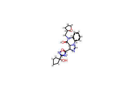 O=C1C2C(c3nc(C4(O)CCCC4)no3)N=CN2c2ccccc2N1CC1CCCO1